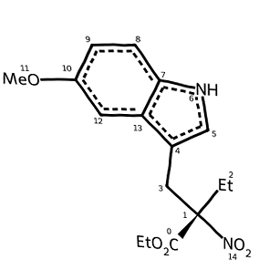 CCOC(=O)[C@](CC)(Cc1c[nH]c2ccc(OC)cc12)[N+](=O)[O-]